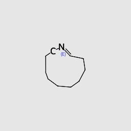 C1=N/CCCCCCCCC/1